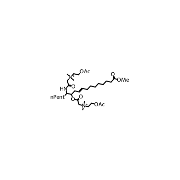 CCCCCC(NC(=O)C[N+](C)(C)CCOC(C)=O)C(CC=CCCCCCCCC(=O)OC)OC(=O)C[N+](C)(C)CCOC(C)=O